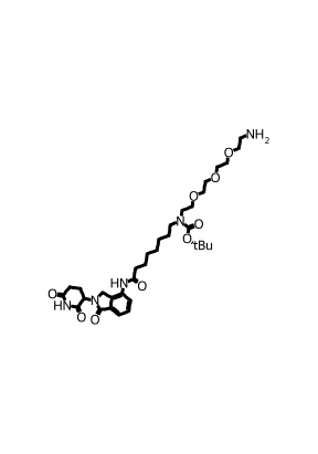 CC(C)(C)OC(=O)N(CCCCCCCC(=O)Nc1cccc2c1CN(C1CCC(=O)NC1=O)C2=O)CCOCCOCCOCCN